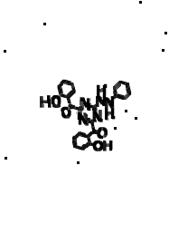 O=C(c1nc(NNc2ccccc2)nc(C(=O)c2ccccc2O)n1)c1ccccc1O